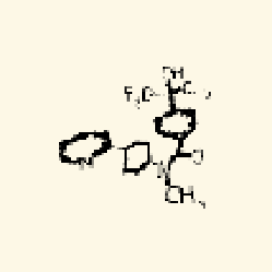 CN(C(=O)c1ccc([C@](C)(O)C(F)(F)F)cc1)[C@H]1CC[C@H](c2ccccn2)CC1